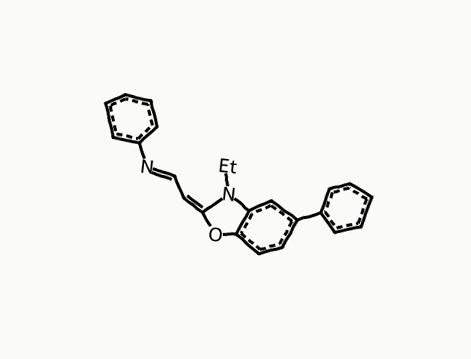 CCN1C(=CC=Nc2ccccc2)Oc2ccc(-c3ccccc3)cc21